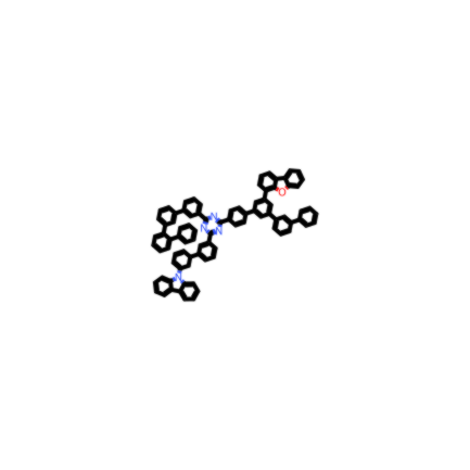 C1=CC(c2cccc(-c3nc(-c4ccc(-c5cc(-c6cccc(-c7ccccc7)c6)cc(-c6cccc7c6oc6ccccc67)c5)cc4)nc(-c4cccc(-c5cccc(-c6ccccc6-c6ccccc6)c5)c4)n3)c2)CC(n2c3ccccc3c3ccccc32)=C1